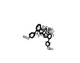 CC1=Cc2c(-c3ccc(C(C)(C)C)cc3)cccc2[CH]1[Zr]([CH3])([CH3])([CH]1C(C)=Cc2c(-c3ccc(C(C)(C)C)cc3)cccc21)[SiH](C)C